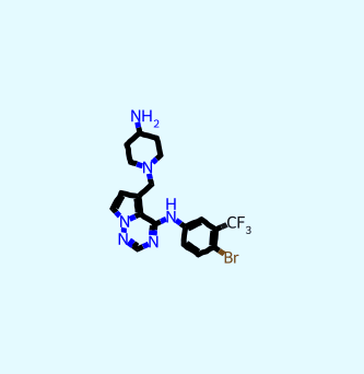 NC1CCN(Cc2ccn3ncnc(Nc4ccc(Br)c(C(F)(F)F)c4)c23)CC1